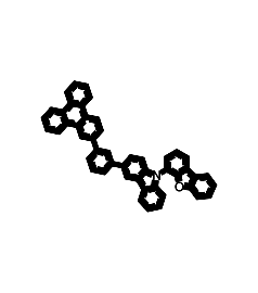 c1cc(-c2ccc3c4ccccc4c4ccccc4c3c2)cc(-c2ccc3c(c2)c2ccccc2n3-c2cccc3c2oc2ccccc23)c1